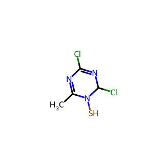 CC1=NC(Cl)=NC(Cl)N1S